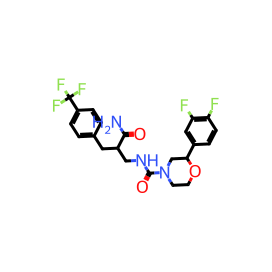 NC(=O)C(CNC(=O)N1CCOC(c2ccc(F)c(F)c2)C1)Cc1ccc(C(F)(F)F)cc1